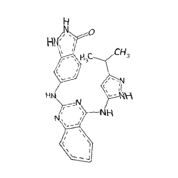 CC(C)c1cc(Nc2nc(Nc3ccc4c(=O)[nH][nH]c4c3)nc3ccccc23)[nH]n1